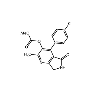 COC(=O)Oc1c(C)nc2c(c1-c1ccc(Cl)cc1)C(=O)NC2